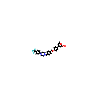 CC=CC(CC(=O)O)c1ccc(OCc2ccc(CN3CCN(c4ccc(C(F)(F)F)cc4)CC3)cc2)cc1